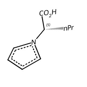 CCC[C@@H](C(=O)O)n1cccc1